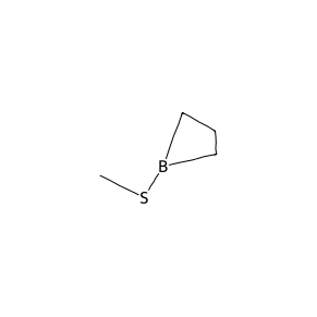 CSB1CCC1